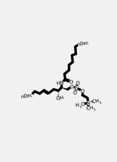 CCCCCCCCCCCCC=CC[C@@H](O)[C@H](COP(=O)([O-])OCC[N+](C)(C)C)NC(=O)CCCCCCCCCCCCCCCCC